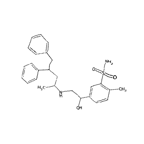 Cc1ccc(C(O)CNC(C)CC(Cc2ccccc2)c2ccccc2)cc1S(N)(=O)=O